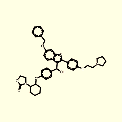 O=C1OCCN1C1CCCCC1Oc1ccc(C(O)c2c(-c3ccc(OCCN4CCCC4)cc3)sc3cc(OCc4ccccc4)ccc23)cc1